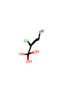 CCC/C=C(\Cl)C(O)(O)O